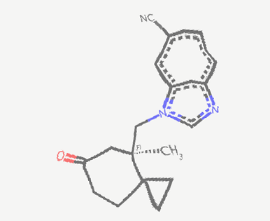 C[C@@]1(Cn2cnc3ccc(C#N)cc32)CC(=O)CCC12CC2